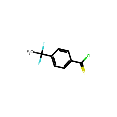 FC(F)(F)C(F)(F)c1ccc(C(=S)Cl)cc1